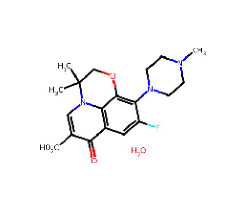 CN1CCN(c2c(F)cc3c(=O)c(C(=O)O)cn4c3c2OCC4(C)C)CC1.O